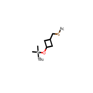 CC(=O)SCC1CC(O[Si](C)(C)C(C)(C)C)C1